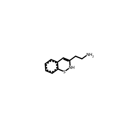 NCCC1=Cc2ccccc2SN1